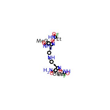 CC[C@@H]1[C@H](F)C(=O)N[C@@H]1COc1ncc(C#C[C@H]2CC[C@H](CNC[C@H]3CC[C@H](C#Cc4cnc(OC[C@H]5NC(=O)[C@@H](F)[C@H]5CC)c5cc(OC)c(C(N)=O)cc45)CC3)CC2)c2cc(C(N)=O)c(OC)cc12